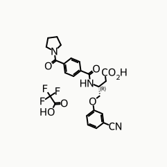 N#Cc1cccc(OC[C@@H](CC(=O)O)NC(=O)c2ccc(C(=O)N3CCCC3)cc2)c1.O=C(O)C(F)(F)F